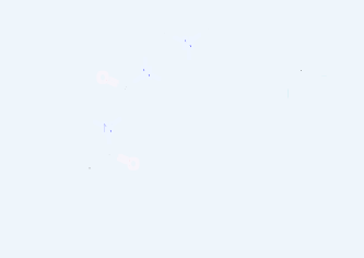 O=C(CN1CCCC(c2ccccc2)(c2ccccc2)C1=O)N1CCN(Cc2ccc(C(F)(F)F)cc2)CC1